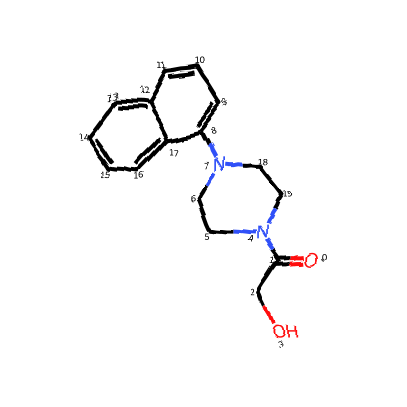 O=C(CO)N1CCN(c2cccc3ccccc23)CC1